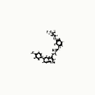 Fc1ccc(-c2ccc3[nH]cc(CCNCc4cccc(OCC(F)(F)C(F)(F)F)c4)c3c2)cc1